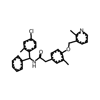 Cc1cc(CC(=O)NC(c2ccccc2)c2ccc(Cl)cc2C)ccc1OCc1cccnc1C